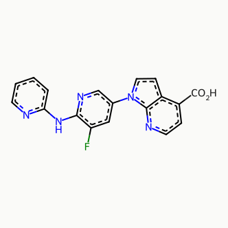 O=C(O)c1ccnc2c1ccn2-c1cnc(Nc2ccccn2)c(F)c1